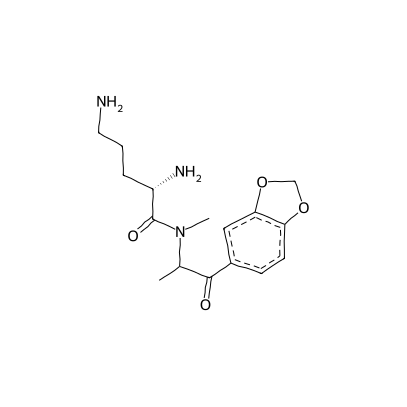 CC(C(=O)c1ccc2c(c1)OCO2)N(C)C(=O)[C@@H](N)CCCN